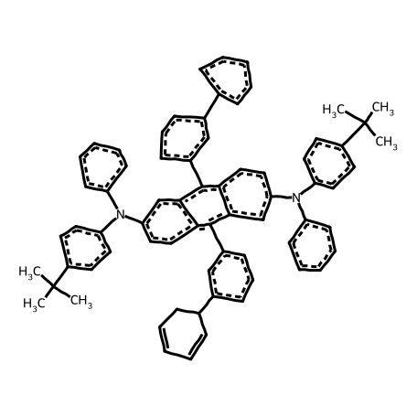 CC(C)(C)c1ccc(N(c2ccccc2)c2ccc3c(-c4cccc(C5C=CC=CC5)c4)c4cc(N(c5ccccc5)c5ccc(C(C)(C)C)cc5)ccc4c(-c4cccc(-c5ccccc5)c4)c3c2)cc1